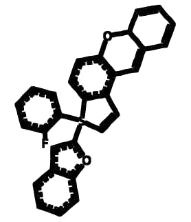 Fc1ccccc1S1(c2cc3ccccc3o2)C=Cc2c1ccc1c2C=C2C=CC=CC2O1